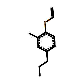 C=CSc1ccc(CCC)cc1C